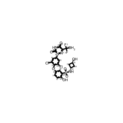 BC(F)(F)c1nn(-c2cc(Cl)c(Oc3ccc(O)c(S(=O)(=O)N[C@H]4C[C@H](O)C4)c3)c(Cl)c2)c(=O)[nH]c1=O